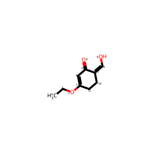 CCOC1=CC(=O)/C(=C\O)CC1